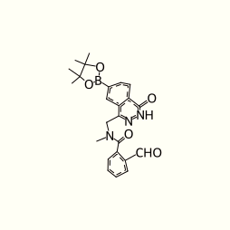 CN(Cc1n[nH]c(=O)c2ccc(B3OC(C)(C)C(C)(C)O3)cc12)C(=O)c1ccccc1C=O